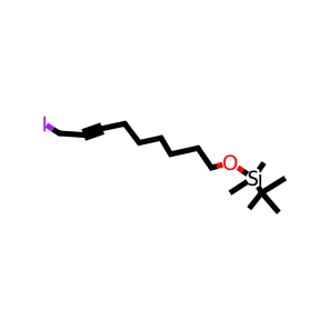 CC(C)(C)[Si](C)(C)OCCCCCCC#CCI